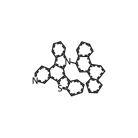 c1ccc2c(c1)ccc1c3ccccc3c(-n3c4ccccc4c4c5ccncc5c5sc6ccccc6c5c43)cc21